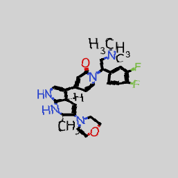 C[C@@H]1NC2NC=C(c3ccn(C(CN(C)C)c4ccc(F)c(F)c4)c(=O)c3)[C@H]2C=C1N1CCOCC1